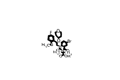 COc1ccc(F)cc1C(Cn1c(=O)n(C(C)(C)C(=O)O)c(=O)c2cc(Br)ccc21)OC1CCOCC1